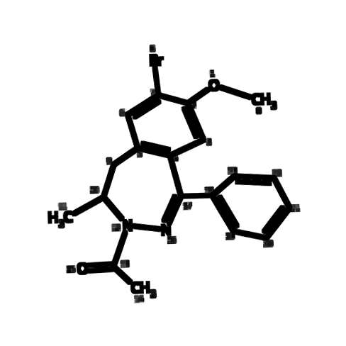 COc1cc2c(cc1Br)CC(C)N(C(C)=O)N=C2c1ccccc1